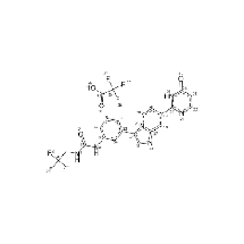 O=C(NCC(F)(F)F)Nc1cccc(-c2cnc3cc(-c4nccc(=O)[nH]4)ccn23)c1.O=C(O)C(F)(F)F